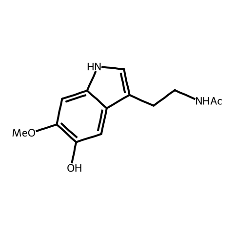 COc1cc2[nH]cc(CCNC(C)=O)c2cc1O